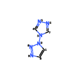 c1cn(-n2cnnc2)nn1